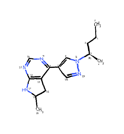 CCC[C@@H](C)n1cc(-c2ncnc3c2CC(C)N3)cn1